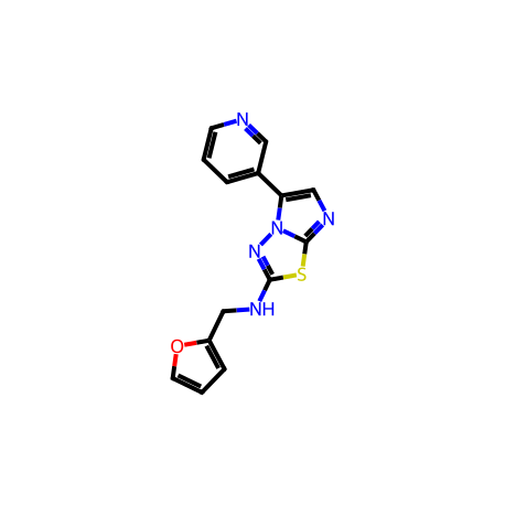 c1cncc(-c2cnc3sc(NCc4ccco4)nn23)c1